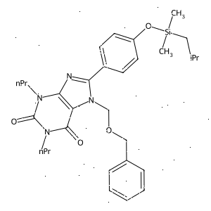 CCCn1c(=O)c2c(nc(-c3ccc(O[Si](C)(C)CC(C)C)cc3)n2COCc2ccccc2)n(CCC)c1=O